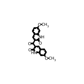 COc1ccc2cc(C(=O)c3cc4ccc(OC)cc4[nH]c3=O)c(=O)[nH]c2c1